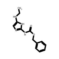 CCNc1cnc(PC(=O)OCc2ccccc2)[nH]1